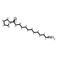 NCCCCCCCCCCCC(=O)N1CCCC1